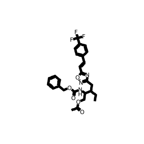 CCC(Cc1noc(C=Cc2ccc(C(F)(F)F)cc2)n1)C(COC(C)=O)NC(=O)OCc1ccccc1